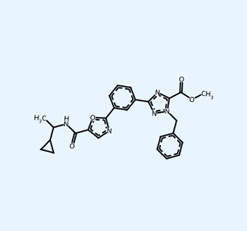 COC(=O)c1nc(-c2cccc(-c3ncc(C(=O)NC(C)C4CC4)o3)c2)nn1Cc1ccccc1